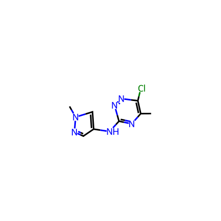 Cc1nc(Nc2cnn(C)c2)nnc1Cl